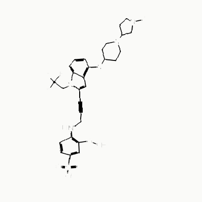 COc1cc(S(C)(=O)=O)ccc1NCC#Cc1cc2c(NC3CCN(C4CCN(C)C4)CC3)cccc2n1CC(F)(F)F